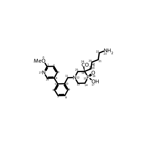 COc1ccc(-c2ccccc2CN2CCP(=O)(O)[C@](CCCCN)(C(=O)O)C2)cn1